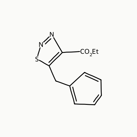 CCOC(=O)c1nnsc1Cc1ccccc1